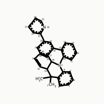 CC1(C)c2ccccc2N(c2ccccc2-c2cccc(-c3ccccn3)c2)C2C=CC=CC21